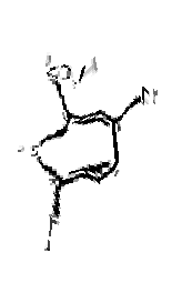 O=S(=O)(O)c1sc(F)cc1F